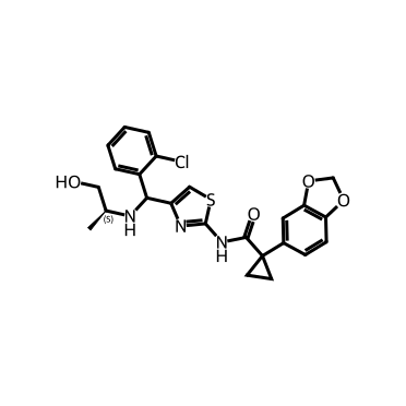 C[C@@H](CO)NC(c1csc(NC(=O)C2(c3ccc4c(c3)OCO4)CC2)n1)c1ccccc1Cl